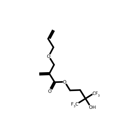 C=CCOCC(=C)C(=O)OCCC(O)(C(F)(F)F)C(F)(F)F